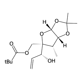 C=C[C@@H](O)[C@@]1(COC(=O)C(C)(C)C)O[C@@H]2OC(C)(C)O[C@@H]2[C@@H]1C